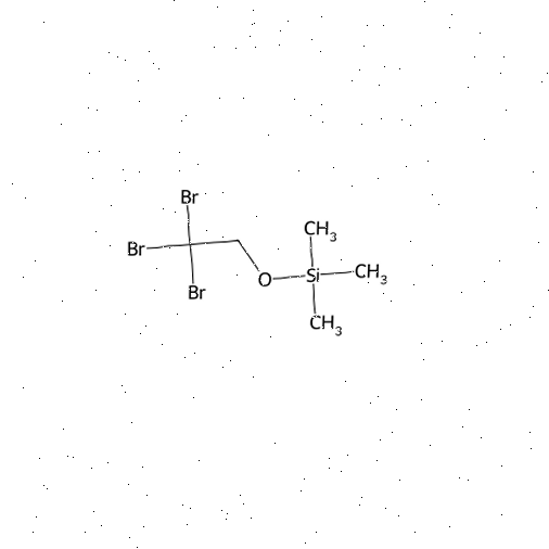 C[Si](C)(C)OCC(Br)(Br)Br